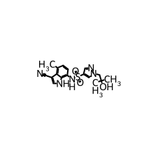 Cc1ccc(NS(=O)(=O)c2cnn(CC(C)(C)O)c2)c2[nH]cc(C#N)c12